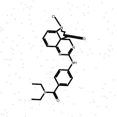 CCN(CC)C(=O)c1ccc(NC2=NCC34CC(=O)CCN(Cl)C3=CC=CC4=N2)cc1